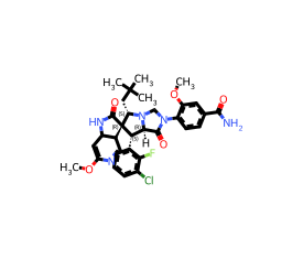 COC1=CC2NC(=O)[C@]3(C2C=N1)[C@H](CC(C)(C)C)N1CN(c2ccc(C(N)=O)cc2OC)C(=O)[C@H]1[C@@H]3c1cccc(Cl)c1F